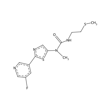 CSCCNC(=O)N(C)c1cnc(-c2cncc(F)c2)s1